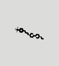 CCC[C@H]1CC[C@H]([C@H]2CC[C@H](C=CCCc3ccc(C(F)(F)F)cc3)CC2)CC1